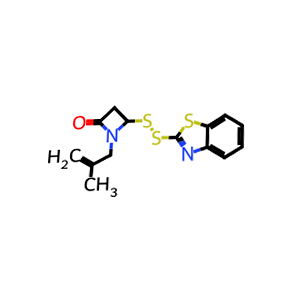 C=C(C)CN1C(=O)CC1SSc1nc2ccccc2s1